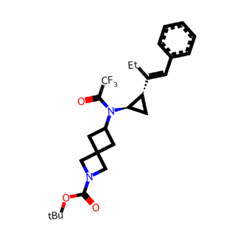 CC/C(=C\c1ccccc1)[C@@H]1C[C@H]1N(C(=O)C(F)(F)F)C1CC2(C1)CN(C(=O)OC(C)(C)C)C2